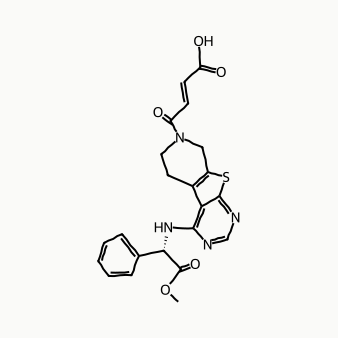 COC(=O)[C@@H](Nc1ncnc2sc3c(c12)CCN(C(=O)/C=C/C(=O)O)C3)c1ccccc1